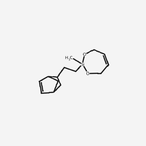 C[Si]1(CCC2CC3C=CC2C3)OCC=CCO1